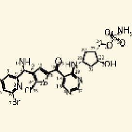 N[C@H](c1cccc(Br)n1)c1cc(C(=O)c2cncnc2N[C@@H]2C[C@H](COS(N)(=O)=O)[C@@H](O)C2)sc1Cl